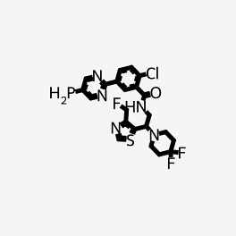 O=C(NCC(c1scnc1CF)N1CCC(F)(F)CC1)c1cc(-c2ncc(P)cn2)ccc1Cl